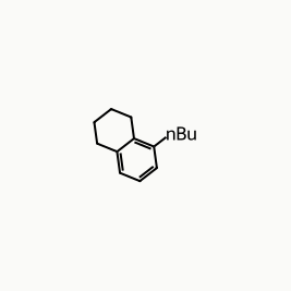 CCCCc1cccc2c1CCCC2